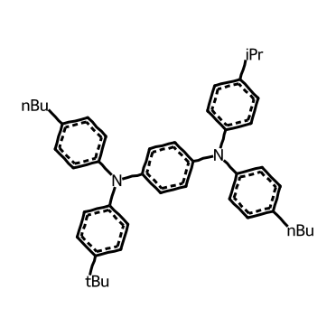 CCCCc1ccc(N(c2ccc(C(C)C)cc2)c2ccc(N(c3ccc(CCCC)cc3)c3ccc(C(C)(C)C)cc3)cc2)cc1